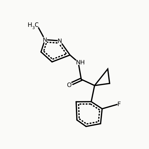 Cn1ccc(NC(=O)C2(c3ccccc3F)CC2)n1